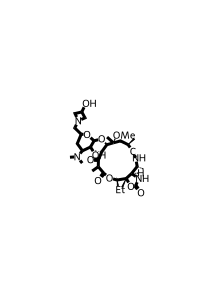 CC[C@H]1OC(=O)C(C)C(=O)[C@H](C)[C@@H](OC2OC(CN3CC(O)C3)CC(N(C)C)C2O)[C@](C)(OC)C[C@@H](C)CN[C@H](C)[C@H]2NC(=O)O[C@@]21C